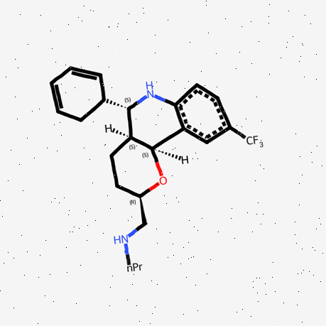 CCCNC[C@H]1CC[C@@H]2[C@H](O1)c1cc(C(F)(F)F)ccc1N[C@H]2C1C=CC=CC1